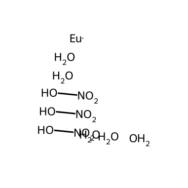 O.O.O.O.O.O=[N+]([O-])O.O=[N+]([O-])O.O=[N+]([O-])O.[Eu]